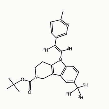 [2H]C(=C([2H])n1c2c(c3cc(C([2H])([2H])[2H])ccc31)CN(C(=O)OC(C)(C)C)CC2)c1ccc(C)nc1